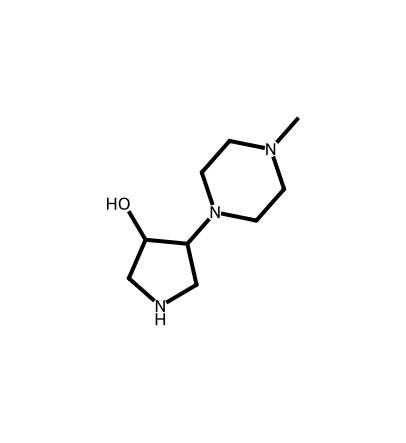 CN1CCN(C2CNCC2O)CC1